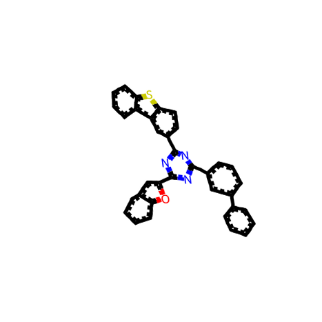 c1ccc(-c2cccc(-c3nc(-c4ccc5sc6ccccc6c5c4)nc(-c4cc5ccccc5o4)n3)c2)cc1